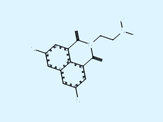 CCN(CC)CCN1C(=O)c2cc([N+](=O)[O-])cc3cc([N+](=O)[O-])cc(c23)C1=O